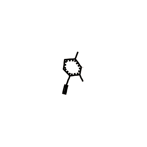 C#Cc1ccc(C)[c]c1C